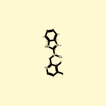 Cc1ccnc(C[S+]([O-])c2nc3ccccc3[nH]2)c1C